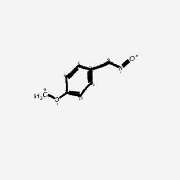 COc1ccc(CN=O)cc1